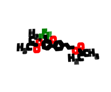 C=C(C)C(=O)OCCCc1ccc2c(c1)oc1c(C(F)(F)F)c(OC(=O)C(=C)C)ccc12